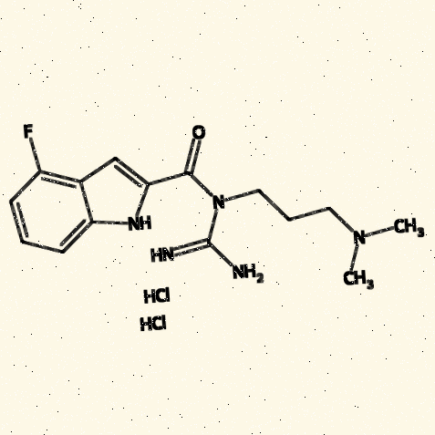 CN(C)CCCN(C(=N)N)C(=O)c1cc2c(F)cccc2[nH]1.Cl.Cl